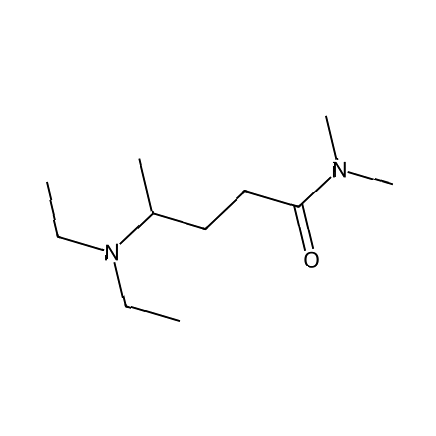 CCN(CC)C(C)CCC(=O)N(C)C